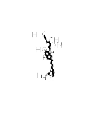 CC#CC[C@H](C)[C@H](O)/C=C/[C@@H]1[C@H]2C/C(=C/CCCCN(CC)CC)C[C@H]2C[C@H]1O